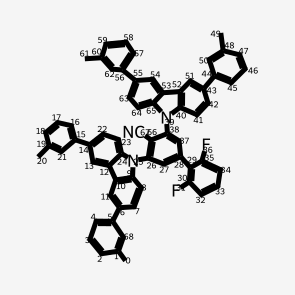 Cc1cccc(-c2ccc3c(c2)c2cc(-c4cccc(C)c4)ccc2n3-c2cc(-c3c(F)cccc3F)cc(-n3c4ccc(-c5cccc(C)c5)cc4c4cc(-c5cccc(C)c5)ccc43)c2C#N)c1